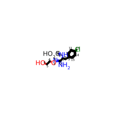 N/C(=N\OCCO)C(Cc1ccc(Cl)cc1)NC(=O)O